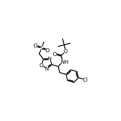 CC(C)(C)OC(=O)NC(Cc1ccc(Cl)cc1)c1noc(CS(C)(=O)=O)n1